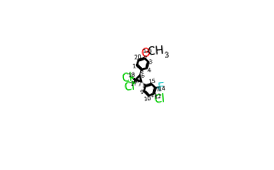 COc1ccc([C@H]2[C@H](c3ccc(Cl)c(F)c3)C2(Cl)Cl)cc1